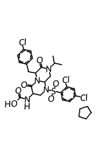 C1CCCC1.CC(C)N1CC2N(C(=O)C(NC(=O)O)CN2S(=O)(=O)c2ccc(Cl)cc2Cl)C(Cc2ccc(Cl)cc2)C1=O